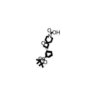 CC1(C)OB(c2cccc([C@@H]3COC4(CCN(C(=O)O)CC4)C3)c2)OC1(C)C